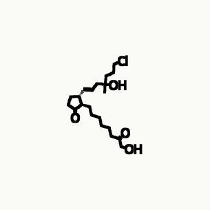 CC(O)(CC=C[C@H]1CCC(=O)[C@@H]1CCCCCCC(=O)CO)CCCCl